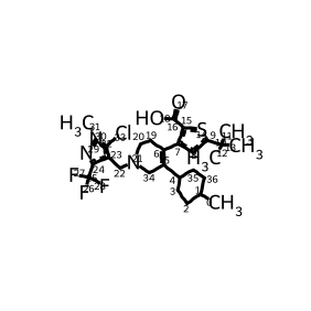 CC1CCC(C2=C(c3cc(C(C)(C)C)sc3C(=O)O)CCN(Cc3c(C(F)(F)F)nn(C)c3Cl)C2)CC1